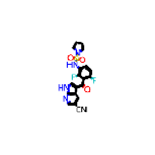 N#Cc1cnc2[nH]cc(C(=O)c3c(F)ccc(NS(=O)(=O)N4CCCC4)c3F)c2c1